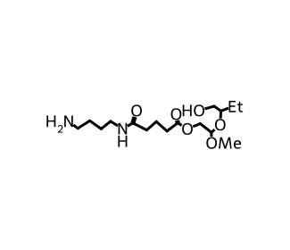 CCC(CO)OC(COC(=O)CCCC(=O)NCCCCN)OC